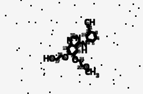 C#Cc1cccc(Nc2ncnc3cc(OCCO)c(OCCOC)cc23)c1